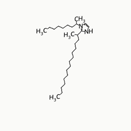 CCCCCCCCCCCCCCC(C)c1[nH]cc[n+]1C(C)CCCCCCC